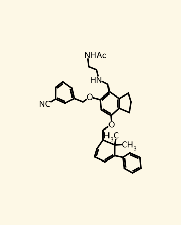 CC(=O)NCCNCc1c(OCc2cccc(C#N)c2)cc(OCC2C=CC=C(c3ccccc3)C2(C)C)c2c1CCC2